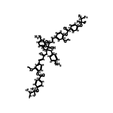 COc1cc(C=CC(=O)CC(Cc2ccc(N)cc2)(Cc2ccc(N)cc2)C(O)(O)C(=O)C=Cc2ccc(OC(=O)c3ccc(OC(F)(F)C(F)F)cc3)c(OC)c2)ccc1OC(=O)c1ccc(OC(F)(F)C(F)F)cc1